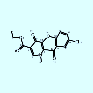 CCOC(=O)c1cn(C)c2c(=O)c3cc(Cl)ccc3oc2c1=O